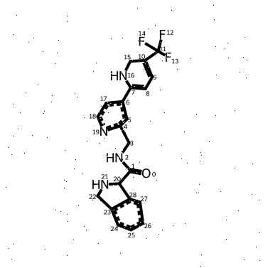 O=C(NCc1cc(C2=CC=C(C(F)(F)F)CN2)ccn1)C1NCc2ccccc21